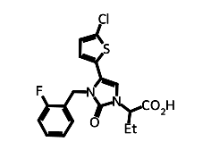 CCC(C(=O)O)n1cc(-c2ccc(Cl)s2)n(Cc2ccccc2F)c1=O